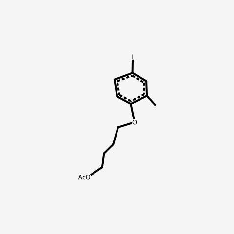 CC(=O)OCCCCOc1ccc(I)cc1C